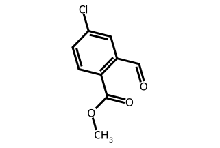 COC(=O)c1ccc(Cl)cc1C=O